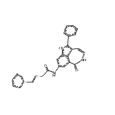 O=C(C/C=C/c1ccccc1)Nc1cc2c3c(c(-c4ccccc4)[nH]c3c1)C=NNC2=O